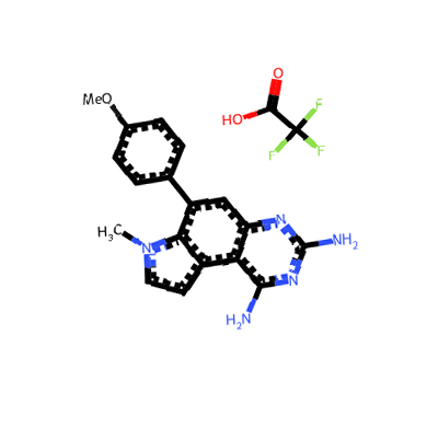 COc1ccc(-c2cc3nc(N)nc(N)c3c3ccn(C)c23)cc1.O=C(O)C(F)(F)F